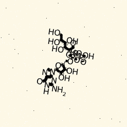 Nc1nc2c(ncn2[C@@H]2O[C@H](COP(=O)(O[C@@H](C=O)[C@@H](O)[C@H](O)[C@H](O)CO)OP(=O)(O)O)[C@@H](O)[C@H]2O)c(=O)[nH]1